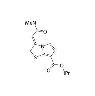 CNC(=O)C=C1CSc2c(C(=O)OC(C)C)ccn21